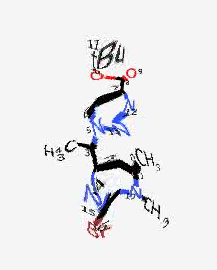 Cc1c(C(C)n2cc(C(=O)OC(C)(C)C)nn2)nc(Br)n1C